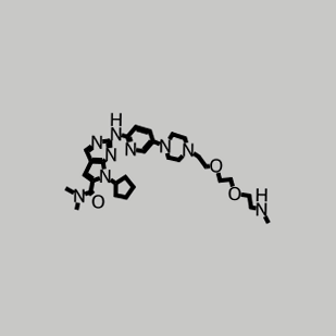 CNCCOCCOCCN1CCN(c2ccc(Nc3ncc4cc(C(=O)N(C)C)n(C5CCCC5)c4n3)nc2)CC1